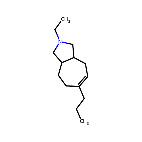 CCCC1=CCC2CN(CC)CC2CC1